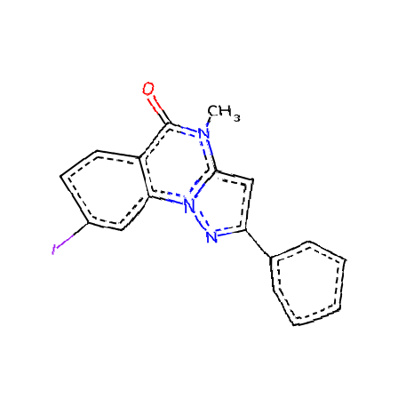 Cn1c(=O)c2ccc(I)cc2n2nc(-c3ccccc3)cc12